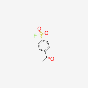 CC(=O)c1ccc(S(=O)(=O)F)cc1